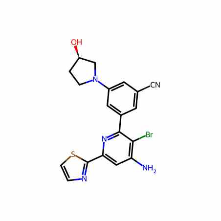 N#Cc1cc(-c2nc(-c3nccs3)cc(N)c2Br)cc(N2CC[C@@H](O)C2)c1